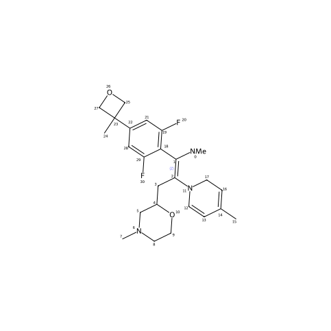 CN/C(=C(/CC1CN(C)CCO1)N1C=CC(C)=CC1)c1c(F)cc(C2(C)COC2)cc1F